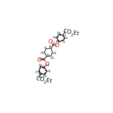 CCOC(=O)c1ccc(OC(=O)C2CCC(C(=O)Oc3ccc(C(=O)OCC)cc3)CC2)cc1